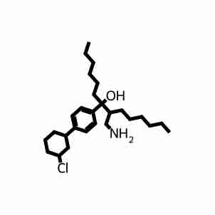 CCCCCCC(CN)C(O)(CCCCCC)c1ccc(C2CCCC(Cl)C2)cc1